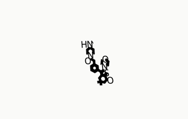 CNC1CCN(C(=O)Cc2cccc(-c3c(N4CCOCC4)sc4c3CC(C)(C)CC4=O)c2)CC1